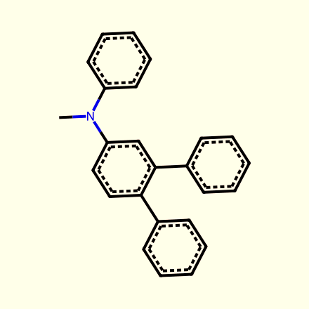 CN(c1ccccc1)c1ccc(-c2ccccc2)c(-c2ccccc2)c1